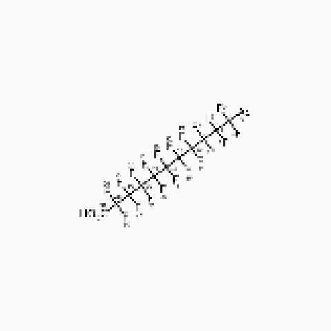 CC(=O)C(F)(F)C(F)(F)C(F)(F)C(F)(F)C(F)(F)C(F)(F)C(F)(F)C(F)(F)C(F)(F)C(F)(F)C(=O)O